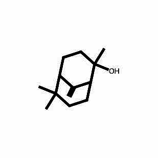 C=C1C2CCC(C)(O)C1CCC2(C)C